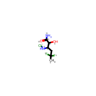 CC(F)(F)CC(NCl)C(O)C(N)=O